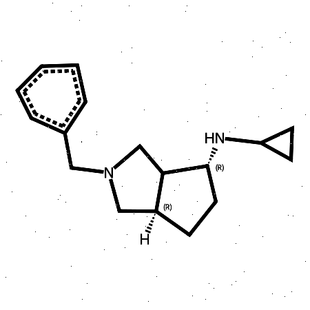 c1ccc(CN2CC3[C@@H](CC[C@H]3NC3CC3)C2)cc1